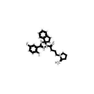 C=C1CCCN1CCCC(=O)N1N=C(c2cc(F)ccc2F)SC12CCc1ccccc12